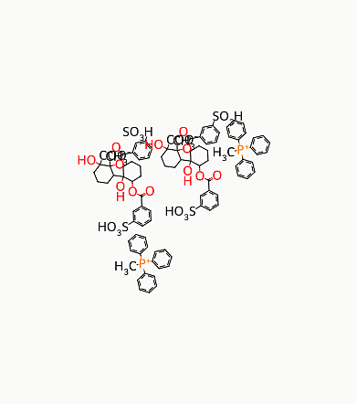 CC1(OC(=O)c2cccc(S(=O)(=O)O)c2)C(C2(O)CCCCC2OC(=O)c2cccc(S(=O)(=O)O)c2)CCCC1(O)C(=O)[O-].CC1(OC(=O)c2cccc(S(=O)(=O)O)c2)C(C2(O)CCCCC2OC(=O)c2cccc(S(=O)(=O)O)c2)CCCC1(O)C(=O)[O-].C[P+](c1ccccc1)(c1ccccc1)c1ccccc1.C[P+](c1ccccc1)(c1ccccc1)c1ccccc1